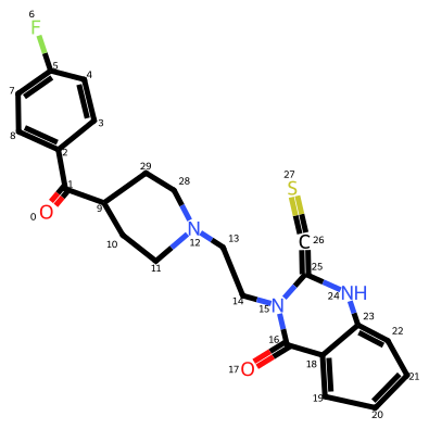 O=C(c1ccc(F)cc1)C1CCN(CCN2C(=O)c3ccccc3NC2=C=S)CC1